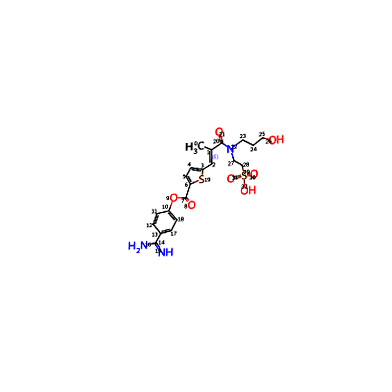 C/C(=C\c1ccc(C(=O)Oc2ccc(C(=N)N)cc2)s1)C(=O)N(CCCO)CCS(=O)(=O)O